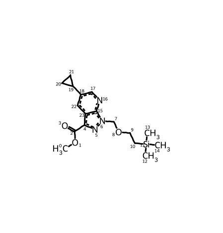 COC(=O)c1nn(COCC[Si](C)(C)C)c2ncc(C3CC3)cc12